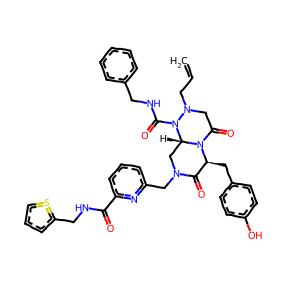 C=CCN1CC(=O)N2[C@@H](Cc3ccc(O)cc3)C(=O)N(Cc3cccc(C(=O)NCc4cccs4)n3)C[C@@H]2N1C(=O)NCc1ccccc1